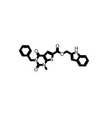 Cn1c(=O)n(Cc2ccccc2)c(=O)c2cc(C(=O)OCc3cc4ccccc4[nH]3)sc21